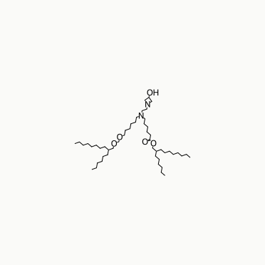 CCCCCCCCC(CCCCCC)COCOCCCCCCN(CCCCCC(=O)OCC(CCCCCC)CCCCCCCC)CCN1CC(O)C1